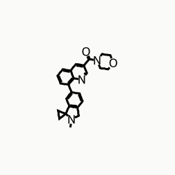 CN1Cc2ccc(-c3cccc4cc(C(=O)N5CCOCC5)cnc34)cc2C12CC2